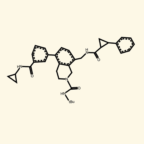 CC(C)(C)NC(=O)N1CCc2c(-c3cccc(C(=O)NC4CC4)c3)ccc(CNC(=O)C3CC3c3ccccc3)c2C1